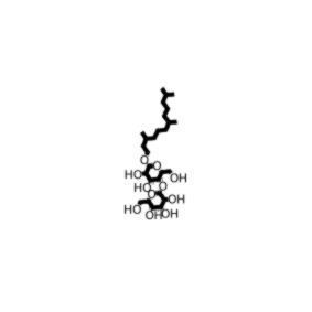 CC(C)CCCC(C)CCCC(C)CCO[C@@H]1OC(CO)[C@@H](O[C@@H]2OC(CO)[C@@H](O)[C@H](O)C2O)[C@H](O)C1O